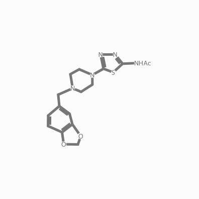 CC(=O)Nc1nnc(N2CCN(Cc3ccc4c(c3)OCO4)CC2)s1